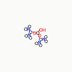 OCc1cc(OCc2cc(-n3c4ccccc4c4ccccc43)cc(-n3c4ccccc4c4ccccc43)c2)cc(OCc2cc(-n3c4ccccc4c4ccccc43)cc(-n3c4ccccc4c4ccccc43)c2)c1